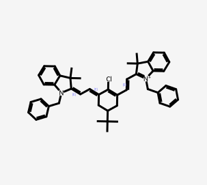 CC1(C)C(/C=C/C2=C(Cl)C(=C/C=C3/N(Cc4ccccc4)c4ccccc4C3(C)C)/CC(C(C)(C)C)C2)=[N+](Cc2ccccc2)c2ccccc21